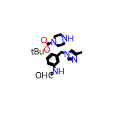 CC(C)(C)OC(=O)N1CCNCC1.Cc1cn(Cc2cccc(NC=O)c2)cn1